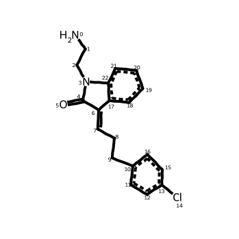 NCCN1C(=O)/C(=C/CCc2ccc(Cl)cc2)c2ccccc21